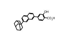 O=C(O)c1ccc(-c2ccc3ccc(C45CC6CC(CC(C6)C4)C5)cc3c2)cc1O